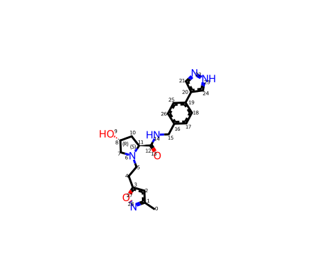 Cc1cc(CCN2C[C@H](O)C[C@H]2C(=O)NCc2ccc(-c3cn[nH]c3)cc2)on1